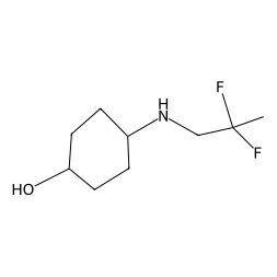 CC(F)(F)CNC1CCC(O)CC1